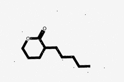 CCCCC[C]1CCCOC1=O